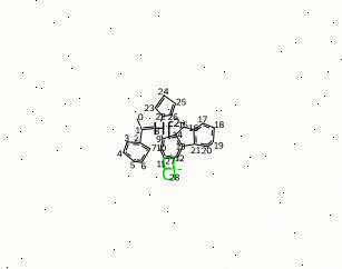 C[C](c1ccccc1)=[Hf+2]([c]1cccc2c1Cc1ccccc1-2)[CH]1C=CC=C1.[Cl-].[Cl-]